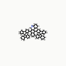 c1ccc(C2(c3ccccc3)c3ccccc3-c3ccc(-c4c5ccccc5c(-c5ccc6c(c5)C(c5ccccc5)(c5ccccc5)c5ccccc5-6)c5c4cnc4ccccc45)cc32)cc1